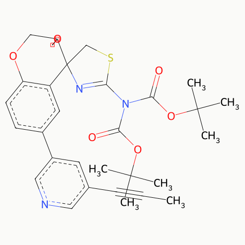 CC#Cc1cncc(-c2ccc3c(c2)C2(CSC(N(C(=O)OC(C)(C)C)C(=O)OC(C)(C)C)=N2)C2(COC2)CO3)c1